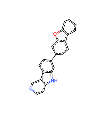 c1ccc2c(c1)oc1cc(-c3ccc4c(c3)[nH]c3ccncc34)ccc12